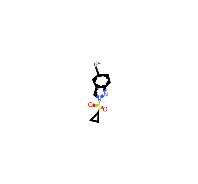 CC(C)c1ccc2nn(S(=O)(=O)C3CC3)cc2c1